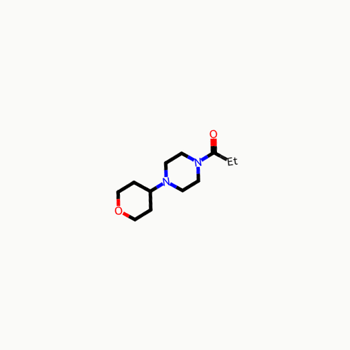 CCC(=O)N1CCN(C2CCOCC2)CC1